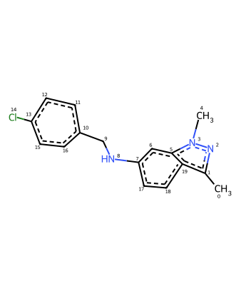 Cc1nn(C)c2cc(NCc3ccc(Cl)cc3)ccc12